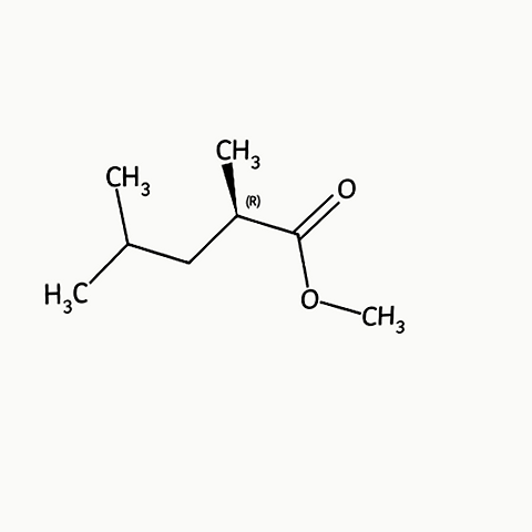 COC(=O)[C@H](C)CC(C)C